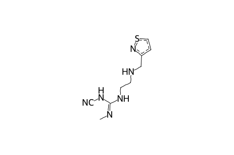 CN=C(NC#N)NCCNCc1ccsn1